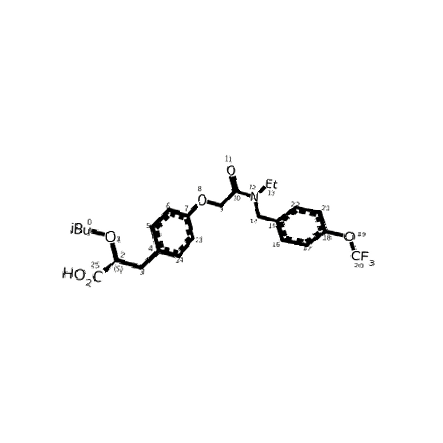 CCC(C)O[C@@H](Cc1ccc(OCC(=O)N(CC)Cc2ccc(OC(F)(F)F)cc2)cc1)C(=O)O